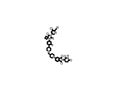 N#Cc1ncc(N2C(=O)C3(CCC3)N(c3ccc(C4CCN(CC5CCN(c6ccc7c(c6)C(=O)N(C6CCC(=O)NC6=O)C7=O)CC5)CC4)c(F)c3)C2=S)cc1Cl